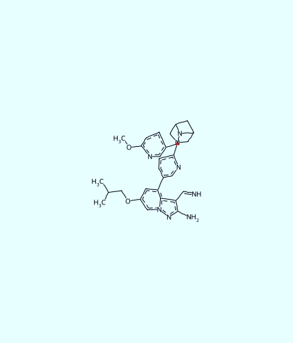 COc1ccc(CN2C3CC2CN(c2ccc(-c4cc(OCC(C)C)cn5nc(N)c(C=N)c45)cn2)C3)cn1